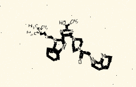 CC(O)c1nc(-c2nc3ccccc3n2COCC[Si](C)(C)C)c(N2CCN(C(=O)Cn3ccc4cccnc43)CC2)s1